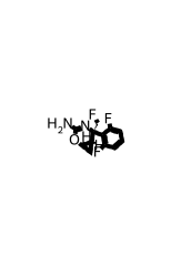 NC1=N[C@@](CF)(c2c(F)cccc2F)[C@@H]2C[C@@H]2O1